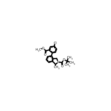 COC(=O)c1cc(Cl)ccc1-c1cccc2c1CN(C(=O)OC(C)(C)C)C2C